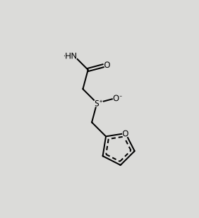 [NH]C(=O)C[S+]([O-])Cc1ccco1